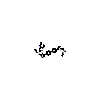 C=C/C=C(\C=C/C)CC(=O)N(CCC)Cc1ncc(-c2ccc(-c3ccc(-c4cnc(CN(C)CCC)s4)cc3)cc2)s1